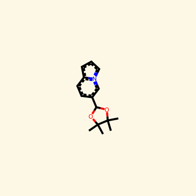 CC1(C)OC(c2ccc3cccn3c2)OC1(C)C